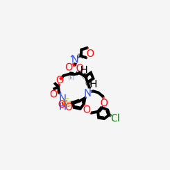 CN(C(=O)O[C@H]1/C=C/COC(C)(C)C(=O)NS(=O)(=O)c2ccc3c(c2)N(CCCOc2cc(Cl)ccc2CO3)C[C@@H]2CC[C@H]21)[C@@H]1CCOC1